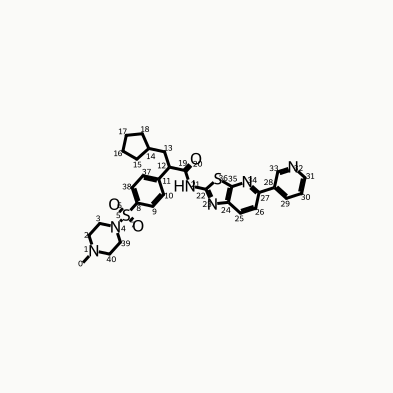 CN1CCN(S(=O)(=O)c2ccc(C(CC3CCCC3)C(=O)Nc3nc4ccc(-c5cccnc5)nc4s3)cc2)CC1